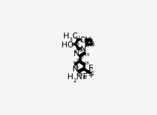 CC(C)C(O)c1nc(-c2cnc(N)c(C(F)(F)F)c2)cn1C12CC(C1)C2